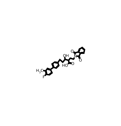 Cc1cc(-c2ccc(CCC(O)C(CCN3C(=O)c4ccccc4C3=O)C(=O)O)cc2)ccc1F